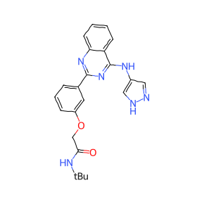 CC(C)(C)NC(=O)COc1cccc(-c2nc(Nc3cn[nH]c3)c3ccccc3n2)c1